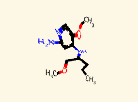 CCCC(COC)Nc1cc(N)ncc1OC